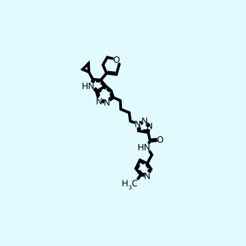 Cc1ccc(CNC(=O)c2cn(CCCCc3cc4c(C5=CCOCC5)c(C5CC5)[nH]c4nn3)nn2)cn1